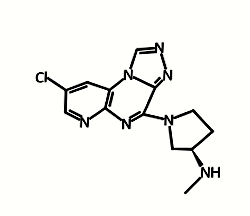 CN[C@@H]1CCN(c2nc3ncc(Cl)cc3n3cnnc23)C1